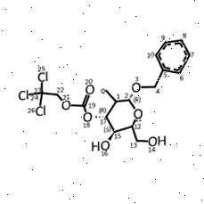 CC1[C@H](OCc2ccccc2)OC(CO)[C@@H](O)[C@@H]1OC(=O)OCC(Cl)(Cl)Cl